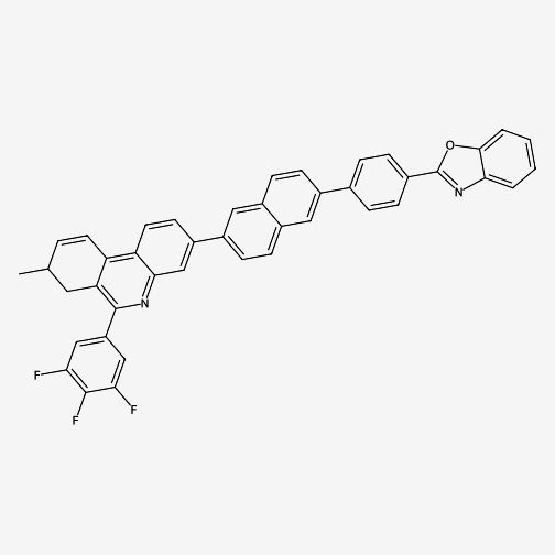 CC1C=Cc2c(c(-c3cc(F)c(F)c(F)c3)nc3cc(-c4ccc5cc(-c6ccc(-c7nc8ccccc8o7)cc6)ccc5c4)ccc23)C1